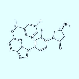 C[C@@H](Oc1ccc2ncc(-c3ccc(N4C[C@@H](N)CC4=O)c(F)c3)n2n1)c1cncc(F)c1